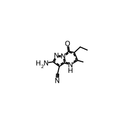 CCc1c(C)[nH]c2c(C#N)c(N)nn2c1=O